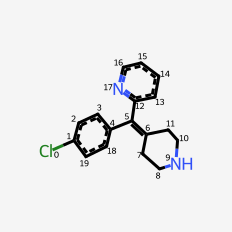 Clc1ccc(C(=C2CCNCC2)c2ccccn2)cc1